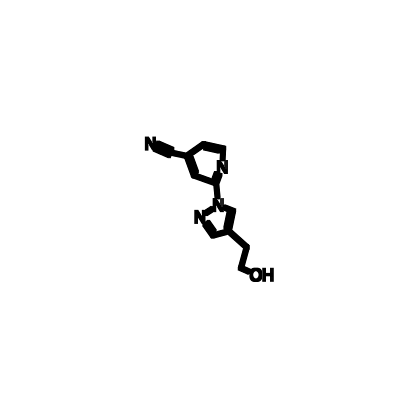 N#Cc1ccnc(-n2cc(CCO)cn2)c1